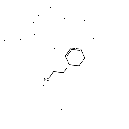 N#CCCC1C=C=CCC1